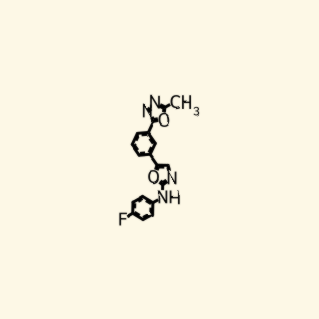 Cc1nnc(-c2cccc(-c3cnc(Nc4ccc(F)cc4)o3)c2)o1